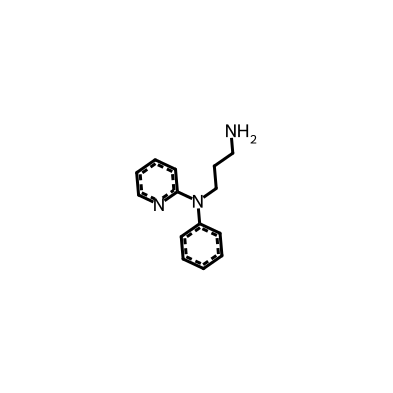 NCCCN(c1ccccc1)c1ccccn1